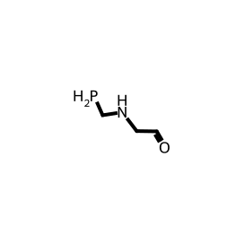 O=CCNCP